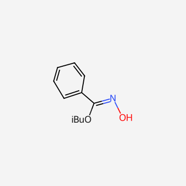 CC(C)COC(=NO)c1ccccc1